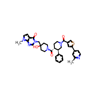 Cc1cc(-c2cc(C(=O)N3CC[C@@H](C(=O)N4CCC(O)(Cn5cnc6c(ccn6C)c5=O)CC4)[C@H](c4ccccc4)C3)cs2)ccn1